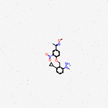 CO/N=C(\C)c1ccc(OCc2c(C3CC3)cccc2N(C)N)c([N+](=O)[O-])c1